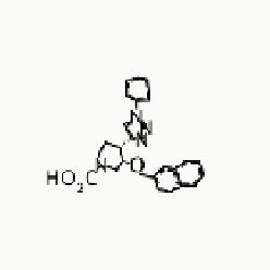 O=C(O)N1CC[C@H](c2cn(-c3ccccc3)nn2)[C@@H](OCc2ccc3ccccc3c2)C1